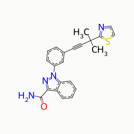 CC(C)(C#Cc1cccc(-n2nc(C(N)=O)c3ccccc32)c1)c1nccs1